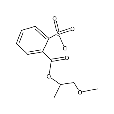 COCC(C)OC(=O)c1ccccc1S(=O)(=O)Cl